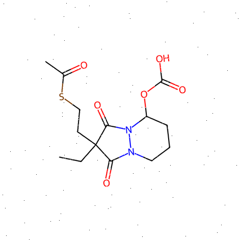 CCC1(CCSC(C)=O)C(=O)N2CCCC(OC(=O)O)N2C1=O